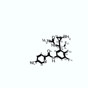 N#Cc1ccc(C(=O)Nc2cc(F)c(F)c([C@@](CF)(NC(N)=O)[C@H]3C[C@H]3N)c2)nc1